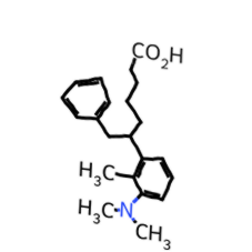 Cc1c(C(CCCCC(=O)O)Cc2ccccc2)cccc1N(C)C